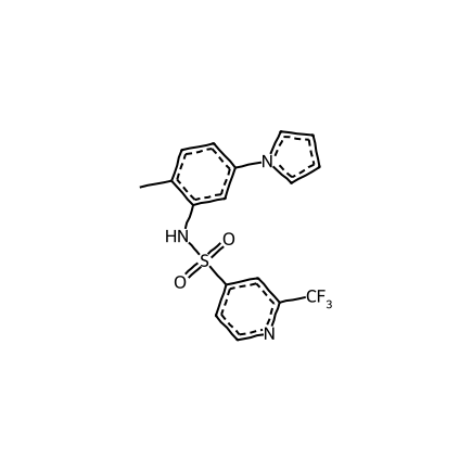 Cc1ccc(-n2cccc2)cc1NS(=O)(=O)c1ccnc(C(F)(F)F)c1